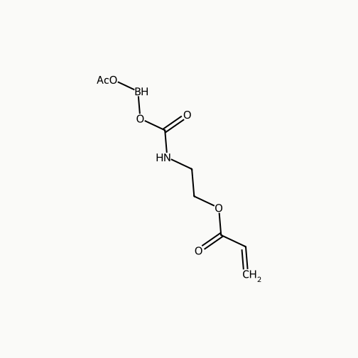 C=CC(=O)OCCNC(=O)OBOC(C)=O